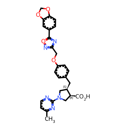 Cc1ccnc(N2C[C@@H](Cc3ccc(OCc4noc(-c5ccc6c(c5)OCO6)n4)cc3)[C@@H](C(=O)O)C2)n1